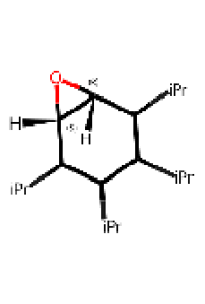 CC(C)C1C(C(C)C)C(C(C)C)[C@@H]2O[C@@H]2C1C(C)C